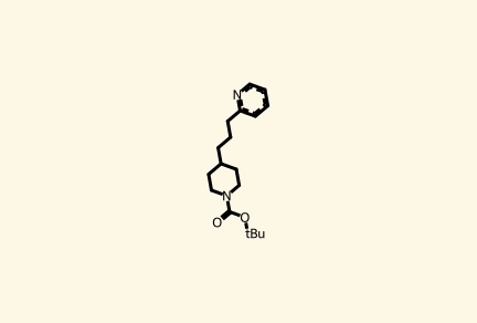 CC(C)(C)OC(=O)N1CCC(CCCc2ccccn2)CC1